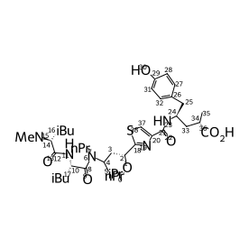 CCCO[C@H](CC(C(C)C)N(CCC)C(=O)[C@@H](NC(=O)[C@@H](NC)[C@@H](C)CC)[C@@H](C)CC)c1nc(C(=O)N[C@@H](Cc2ccc(O)cc2)C[C@H](C)C(=O)O)cs1